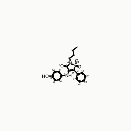 CCCCN1C(=O)C(Nc2ccc(O)cc2)=C(c2ccccc2)S1(=O)=O